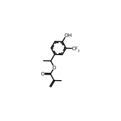 C=C(C)C(=O)OC(C)c1ccc(O)c(C(F)(F)F)c1